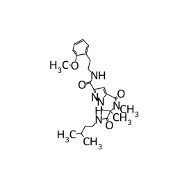 COc1ccccc1CCNC(=O)c1cc2n(n1)CC(C)(C(=O)NCCC(C)C)N(C)C2=O